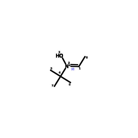 C/C=[N+](\O)C(C)(C)C